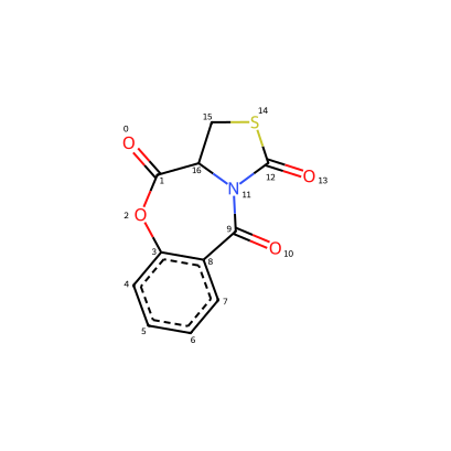 O=C1Oc2ccccc2C(=O)N2C(=O)SCC12